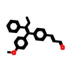 CC/C(=C(\c1ccc(/C=C/C=O)cc1)c1ccc(OC)cc1)c1ccccc1